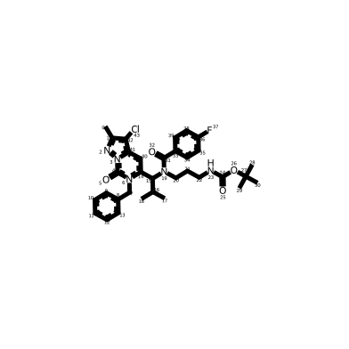 Cc1nn2c(=O)n(Cc3ccccc3)c(C(C(C)C)N(CCCNC(=O)OC(C)(C)C)C(=O)c3ccc(F)cc3)cc2c1Cl